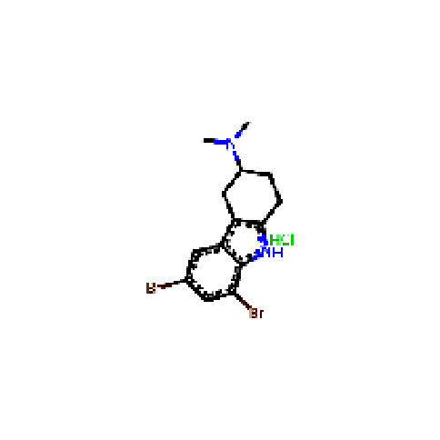 CN(C)C1CCc2[nH]c3c(Br)cc(Br)cc3c2C1.Cl